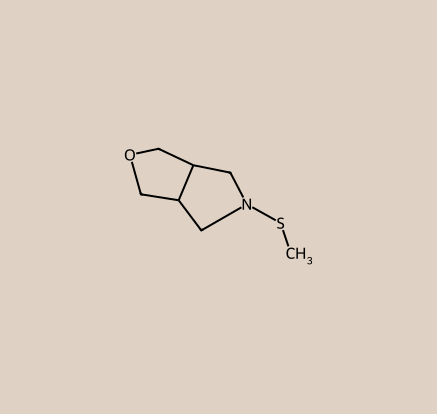 CSN1CC2COCC2C1